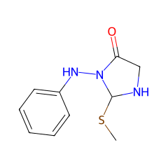 CSC1NCC(=O)N1Nc1ccccc1